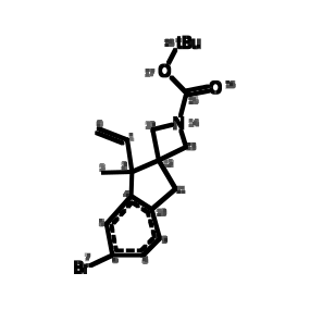 C=CC1(C)c2cc(Br)ccc2CC12CN(C(=O)OC(C)(C)C)C2